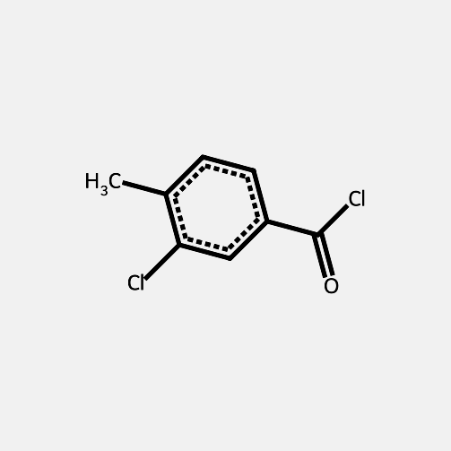 Cc1ccc(C(=O)Cl)cc1Cl